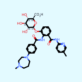 Cc1ccc(NC(=O)c2cccc(O[C@@H]3O[C@H](C(=O)O)[C@@H](O)[C@H](O)[C@H]3O)c2NC(=O)c2ccc(N3CCCN(C)CC3)cc2)nc1